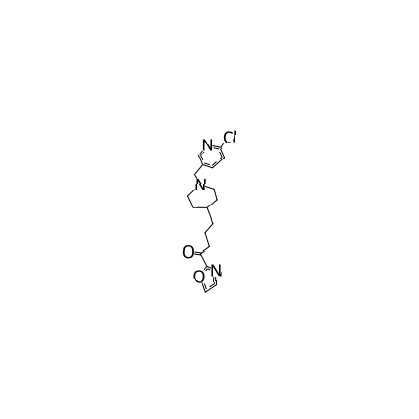 O=C(CCCC1CCN(Cc2ccc(Cl)nc2)CC1)c1ncco1